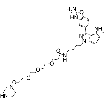 Nc1cccc2c1c(-c1ccc3c(c1)NC(N)O3)nn2CCCCNC(=O)CCOCCOCCOCCON1CCNCC1